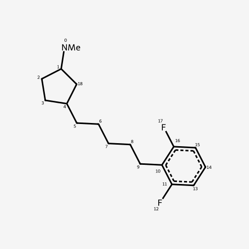 CNC1CCC(CCCCCc2c(F)cccc2F)C1